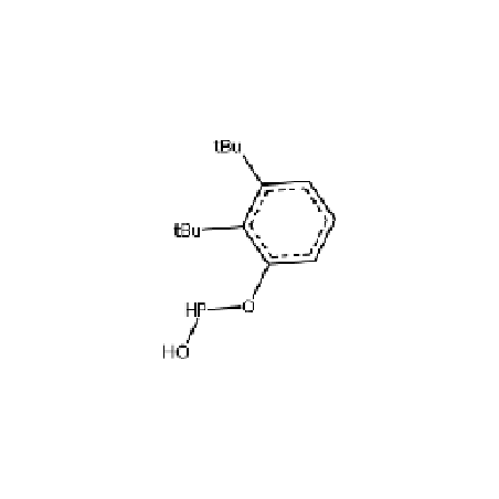 CC(C)(C)c1cccc(OPO)c1C(C)(C)C